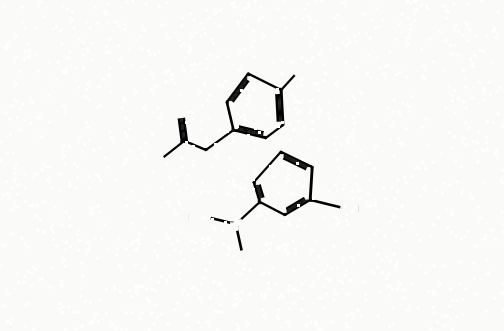 CN(C)c1cccc(O)c1.O=C(O)Cc1ccc(O)cc1